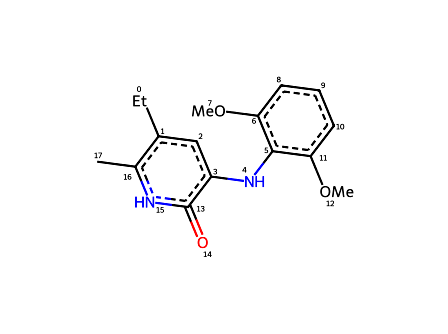 CCc1cc(Nc2c(OC)cccc2OC)c(=O)[nH]c1C